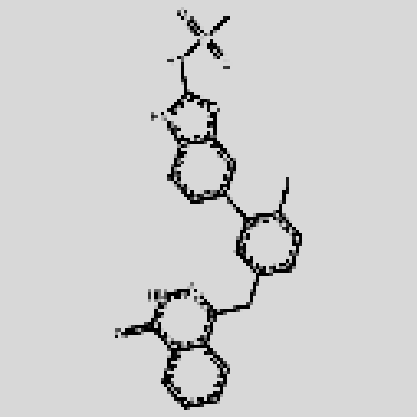 CS(=O)(=O)Nc1nc2cc(-c3cc(Cc4n[nH]c(=O)c5ccccc45)ccc3F)ccc2[nH]1